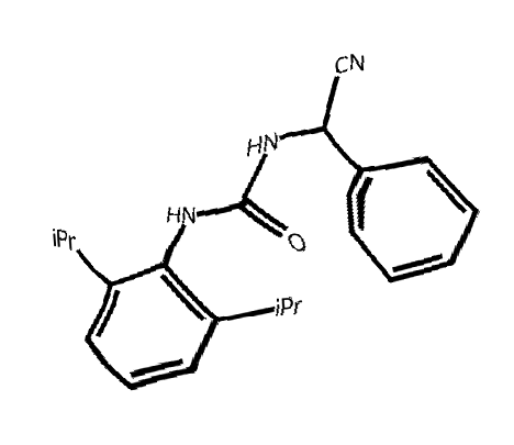 CC(C)c1cccc(C(C)C)c1NC(=O)NC(C#N)c1ccccc1